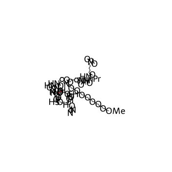 COCCOCCOCCOCCOCCOCCOCCOCCN(Cc1ccccc1C(=O)Nc1nc2c(ncn2[C@@H]2O[C@@H]3CO[P@@](=O)(S)O[C@H]4C[C@H](Oc5ccncn5)C[C@@H]4CCO[P@@](=O)(S)O[C@@H]2[C@@H]3O)c(=O)[nH]1)C(=O)OCc1ccc(NC(=O)[C@H](C)NC(=O)[C@@H](NC(=O)CCCCCN2C(=O)C=CC2=O)C(C)C)cc1